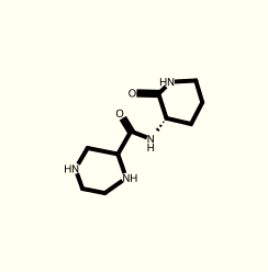 O=C(N[C@H]1CCCNC1=O)C1CNCCN1